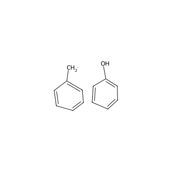 Oc1ccccc1.[CH2]c1ccccc1